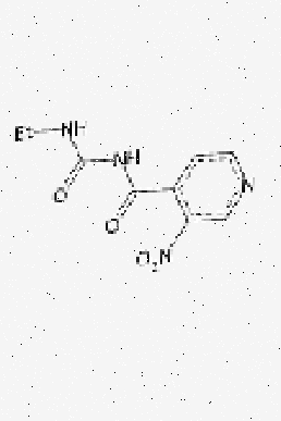 CCNC(=O)NC(=O)c1ccncc1[N+](=O)[O-]